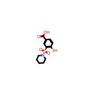 O=C(O)c1ccc(S)c(S(=O)(=O)N2CCCCC2)c1